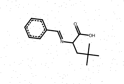 CC(C)(C)CC(N=Cc1ccccc1)C(=O)O